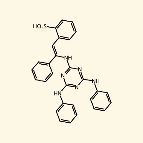 O=S(=O)(O)c1ccccc1C=C(Nc1nc(Nc2ccccc2)nc(Nc2ccccc2)n1)c1ccccc1